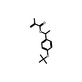 C=C(C)C(=O)OC(C)c1ccc(OC(C)(C)C)cc1